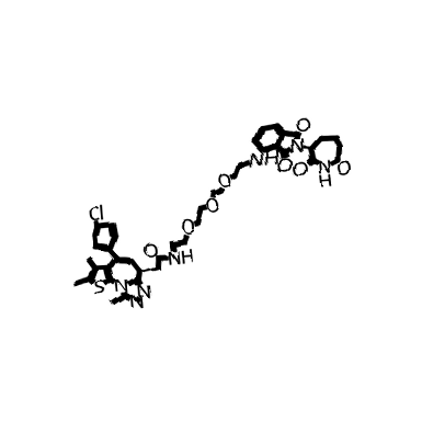 Cc1sc2c(c1C)C(c1ccc(Cl)cc1)=C[C@@H](CC(=O)NCCOCCOCCOCCNc1cccc3c1C(=O)N([C@H]1CCCC(=O)NC1=O)C3=O)c1nnc(C)n1-2